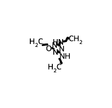 C=CCNc1nc(NCC=C)nc(OCC=C)n1